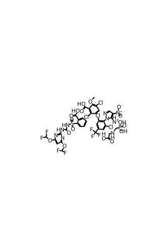 COc1c(Cl)ccc(Cl)c1C(=O)O.Nc1c([N+](=O)[O-])cnn1-c1c(Cl)cc(C(F)(F)F)cc1Cl.O=C(Nc1nc(OC(F)F)cc(OC(F)F)n1)NS(=O)(=O)c1ccccc1C(=O)O.O=C(O)CNCP(=O)(O)O